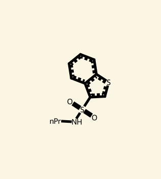 CCCNS(=O)(=O)c1csc2ccccc12